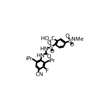 CNS(=O)(=O)c1ccc(S(=O)(=O)NC(=O)Nc2c(C(C)C)cc(C#N)c(F)c2C(C)C)c(C(=O)O)c1